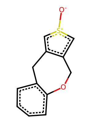 [O-][s+]1cc2c(c1)Cc1ccccc1OC2